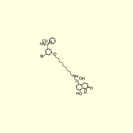 O=C(O)NC(c1ccccc1)c1cc(Br)cc(OCCCCCCCCCNC[C@H](O)c2ccc(O)c3[nH]c(=O)ccc23)c1